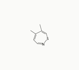 CC1=CC=NSC=C1C